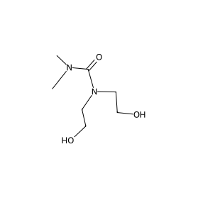 CN(C)C(=O)N(CCO)CCO